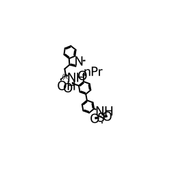 CCCOc1ccc(-c2cccc(NS(C)(=O)=O)c2)cc1C(=O)N[C@@H](CO)Cc1cn(C)c2ccccc12